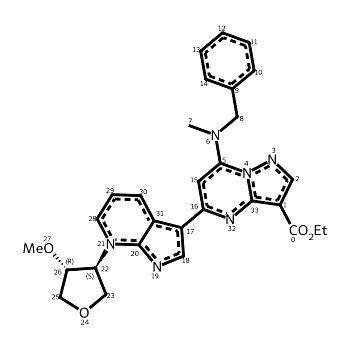 CCOC(=O)c1cnn2c(N(C)Cc3ccccc3)cc(-c3cnc4n([C@H]5COC[C@@H]5OC)cccc3-4)nc12